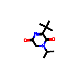 CC(C)N1CC(=O)N=C(C(C)(C)C)C1=O